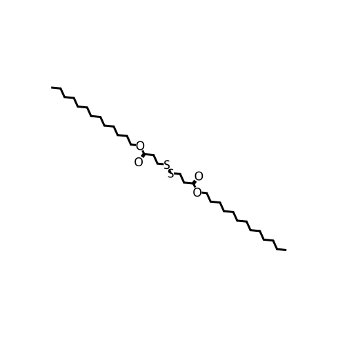 CCCCCCCCCCCCCOC(=O)CCSSCCC(=O)OCCCCCCCCCCCCC